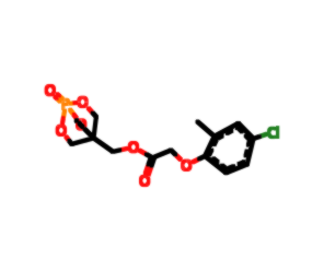 Cc1cc(Cl)ccc1OCC(=O)OCC12COP(=O)(OC1)OC2